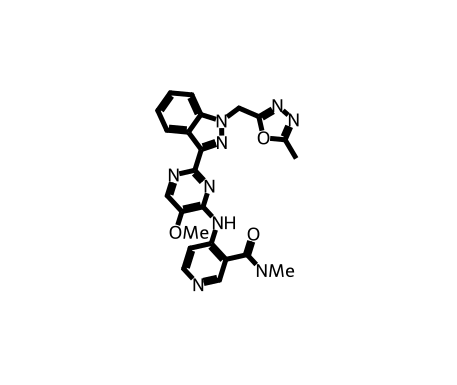 CNC(=O)c1cnccc1Nc1nc(-c2nn(Cc3nnc(C)o3)c3ccccc23)ncc1OC